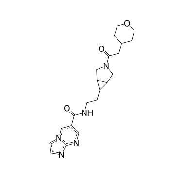 O=C(NCCC1C2CN(C(=O)CC3CCOCC3)CC12)c1cnc2nccn2c1